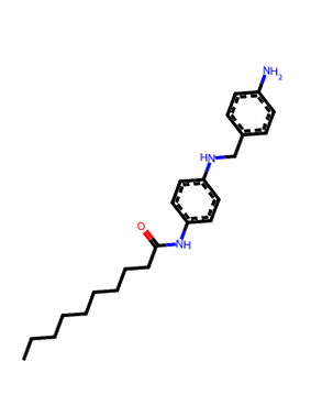 CCCCCCCCCC(=O)Nc1ccc(NCc2ccc(N)cc2)cc1